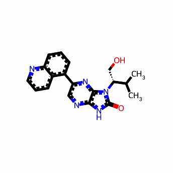 CC(C)[C@@H](CO)n1c(=O)[nH]c2ncc(-c3cccc4ncccc34)nc21